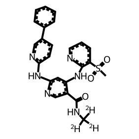 [2H]C([2H])([2H])NC(=O)c1cnc(Nc2ccc(-c3ccccc3)cn2)cc1Nc1ncccc1S(C)(=O)=O